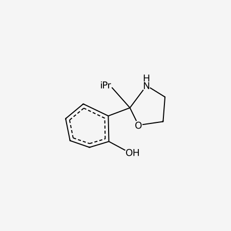 CC(C)C1(c2ccccc2O)NCCO1